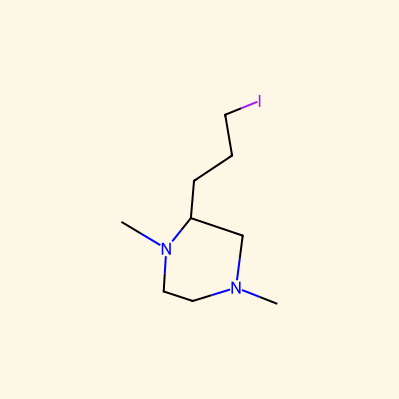 CN1CCN(C)C(CCCI)C1